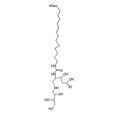 CCCCCCCCCCCCCCCCCCCCCCCNC(=O)NC(CNCC(O)C(O)CO)C(O)CC(O)CC